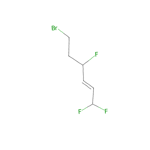 FC(F)C=CC(F)CCBr